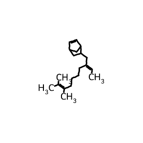 C/C=C(\CCCCC(C)=C(C)C)CC1CC2C=CC1C2